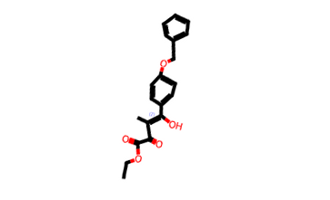 CCOC(=O)C(=O)/C(C)=C(\O)c1ccc(OCc2ccccc2)cc1